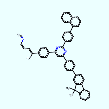 C=N/C=C\C=C(/C)c1ccc(-c2cc(-c3ccc(-c4ccc5c(c4)C(C)(C)c4ccccc4-5)cc3)nc(-c3ccc(-c4cccc5ccccc45)cc3)n2)cc1